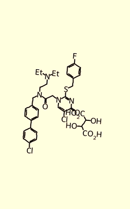 CCN(CC)CCN(Cc1ccc(-c2ccc(Cl)cc2)cc1)C(=O)Cn1cc(Cl)c(=O)nc1SCc1ccc(F)cc1.O=C(O)C(O)C(O)C(=O)O